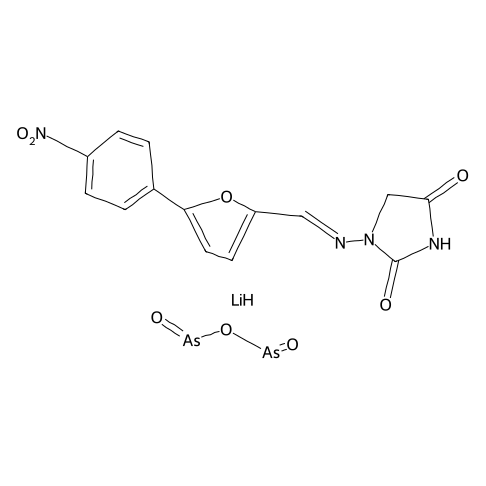 O=C1CN(N=Cc2ccc(-c3ccc([N+](=O)[O-])cc3)o2)C(=O)N1.O=[As]O[As]=O.[LiH]